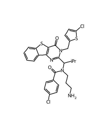 CC(C)C(c1nc2c(sc3ccccc32)c(=O)n1Cc1ccc(Cl)s1)N(CCCN)C(=O)c1ccc(Cl)cc1